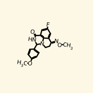 CO/N=C1\CCN2c3c(cc(F)cc31)C(=O)NC2c1ccc(OC)cc1